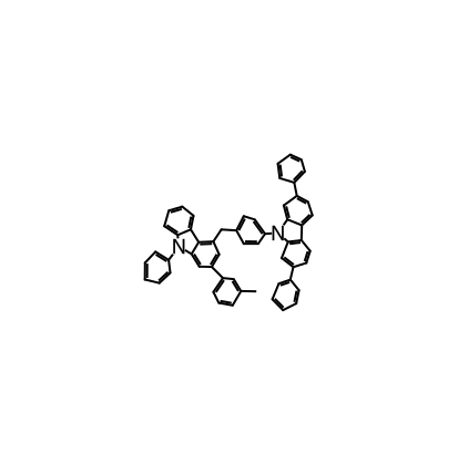 Cc1cccc(-c2cc(Cc3ccc(-n4c5cc(-c6ccccc6)ccc5c5ccc(-c6ccccc6)cc54)cc3)c3c4ccccc4n(-c4ccccc4)c3c2)c1